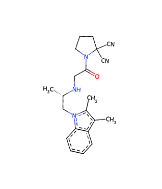 Cc1c(C)n(C[C@H](C)NCC(=O)N2CCCC2(C#N)C#N)c2ccccc12